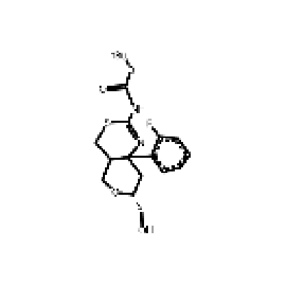 CC(C)(C)OC(=O)NC1=NC2(c3ccccc3F)C[C@H](CO)OCC2CS1